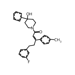 Cc1ccc(/C(=C\C(=O)N2CCC(O)(c3ccccc3)CC2)CCc2cccc(F)c2)cc1